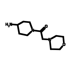 NC1CCN(C(=O)CN2CCOCC2)CC1